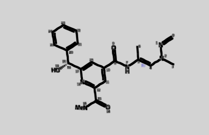 C=NN(C)/C=C(\C)NC(=O)c1cc(C(=O)NC)nc([C@H](O)c2ccccc2)c1